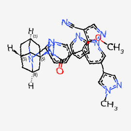 COc1ccc(C(=O)N[C@]23C[C@@H]4C[C@H](C2)N(c2ccc(-c5cc(-c6cnn(C)c6)cn6ncc(C#N)c56)cn2)[C@@H](C4)C3)cn1